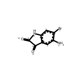 Nc1cc2c(cc1Br)NC(=O)C2=O